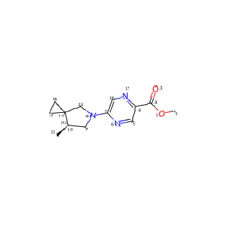 COC(=O)c1cnc(N2C[C@@H](C)C3(CC3)C2)cn1